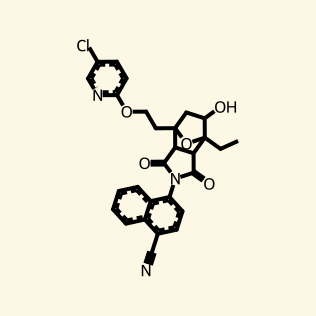 CCC12OC(CCOc3ccc(Cl)cn3)(CC1O)C1C(=O)N(c3ccc(C#N)c4ccccc34)C(=O)C12